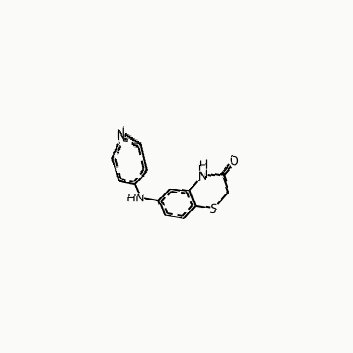 O=C1CSc2ccc(Nc3ccncc3)cc2N1